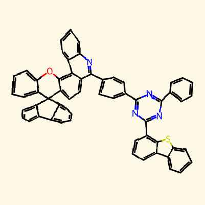 c1ccc(-c2nc(-c3ccc(-c4nc5ccccc5c5c6c(ccc45)C4(c5ccccc5O6)c5ccccc5-c5ccccc54)cc3)nc(-c3cccc4c3sc3ccccc34)n2)cc1